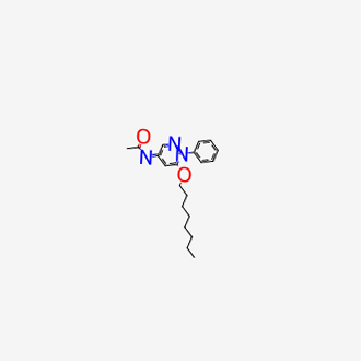 CCCCCCCCOc1cc(=NC(C)=O)cnn1-c1ccccc1